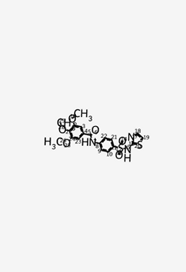 COc1cc(C(=O)Nc2ccc(S(=O)(=O)Nc3nccs3)cc2)cc(OC)c1OC